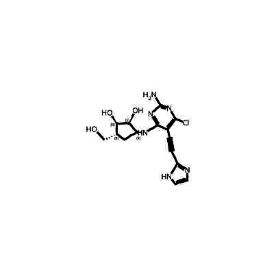 Nc1nc(Cl)c(C#Cc2ncc[nH]2)c(N[C@@H]2C[C@H](CO)[C@@H](O)[C@H]2O)n1